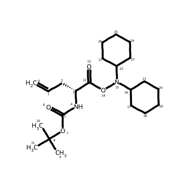 C=CC[C@@H](NC(=O)OC(C)(C)C)C(=O)ON(C1CCCCC1)C1CCCCC1